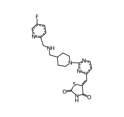 O=C1NC(=O)C(=Cc2ccnc(N3CCC(CNCc4ccc(F)cn4)CC3)n2)S1